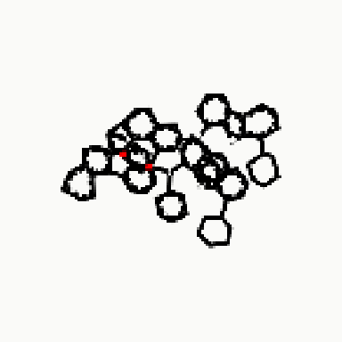 c1ccc(N(c2ccc3c4c(ccc3c2)-c2ccc3cc(N(c5ccccc5)c5cccc6c5oc5c(C7CCCCC7)cccc56)cc5c3c2C42c3ccc4ccccc4c3-c3cccc-5c32)c2cccc3c2oc2c(C4CCCCC4)cccc23)cc1